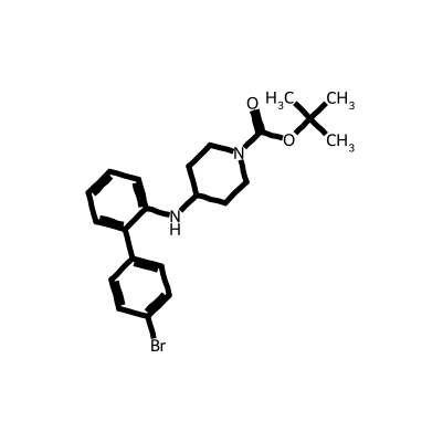 CC(C)(C)OC(=O)N1CCC(Nc2ccccc2-c2ccc(Br)cc2)CC1